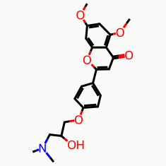 COc1cc(OC)c2c(=O)cc(-c3ccc(OCC(O)CN(C)C)cc3)oc2c1